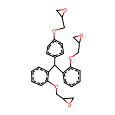 c1ccc(C(c2ccc(OCC3CO3)cc2)c2ccccc2OCC2CO2)c(OCC2CO2)c1